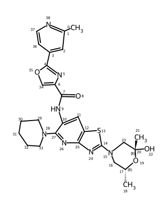 Cc1cc(-c2nc(C(=O)Nc3cc4sc(N5C[C@@H](C)O[C@@](C)(O)C5)nc4nc3N3CCCCC3)co2)ccn1